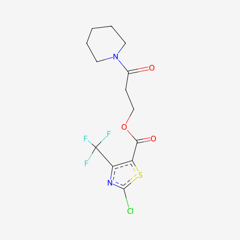 O=C(OCCC(=O)N1CCCCC1)c1sc(Cl)nc1C(F)(F)F